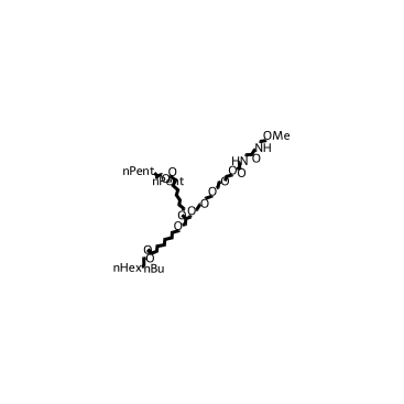 CCCCCCC(CCCC)COC(=O)CCCCCCCOCC(COCCOCCOCCOCCOC(=O)CNCC(=O)CNCCOC)OCCCCCCCC(=O)OCC(CCCCC)CCCCC